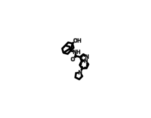 O=C(NC12CC3CC(CC(O)(C3)C1)C2)c1cnn2ccc(N3CCCC3)cc12